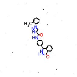 Cc1ccccc1-n1cc(C(=O)Nc2ccc(-c3n[nH]c(=O)c4ccccc34)cc2)nn1